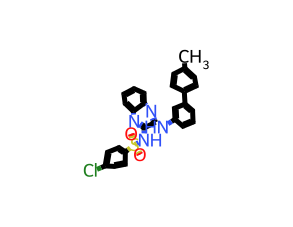 Cc1ccc(-c2cccc(Nc3nc4ccccc4nc3NS(=O)(=O)c3ccc(Cl)cc3)c2)cc1